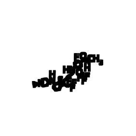 CNC(=O)c1cc(OCC(F)(F)F)c(NCC#Cc2sc3c(NC4CCN(C5CC5)CC4)cccc3c2CC(F)(F)F)cc1F